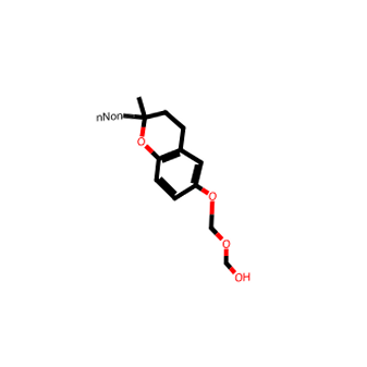 CCCCCCCCCC1(C)CCc2cc(OCOCO)ccc2O1